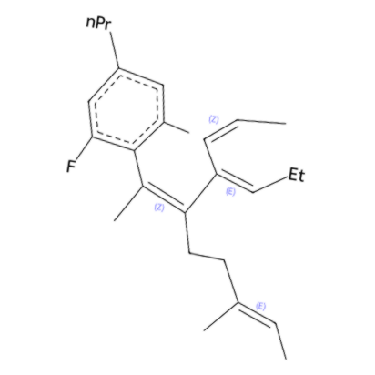 C\C=C/C(=C\CC)C(/CC/C(C)=C/C)=C(/C)c1c(C)cc(CCC)cc1F